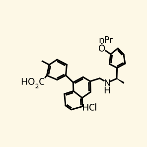 CCCOc1cccc([C@@H](C)NCc2cc(-c3ccc(C)c(C(=O)O)c3)c3ccccc3c2)c1.Cl